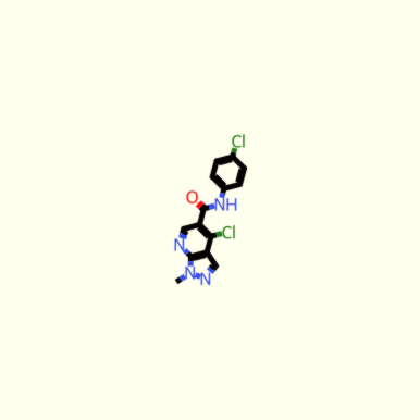 Cn1ncc2c(Cl)c(C(=O)Nc3ccc(Cl)cc3)cnc21